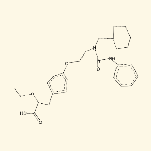 CCOC(Cc1ccc(OCCN(CC2CCCCC2)C(=O)Nc2ccccc2)cc1)C(=O)O